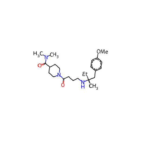 CCC(C)(Cc1ccc(OC)cc1)NCCCC(=O)N1CCC(C(=O)N(C)C)CC1